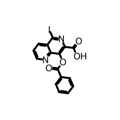 O=C(Oc1c(C(=O)O)nc(I)c2cccnc12)c1ccccc1